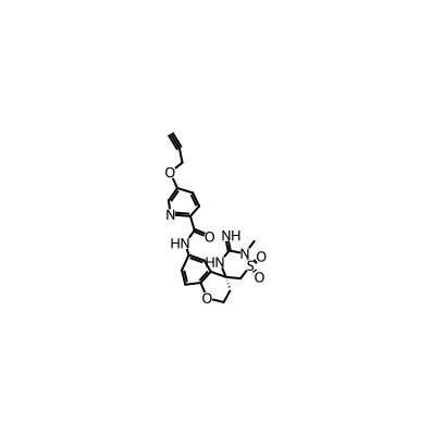 C#CCOc1ccc(C(=O)Nc2ccc3c(c2)[C@]2(CCO3)CS(=O)(=O)N(C)C(=N)N2)nc1